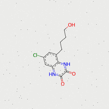 O=c1[nH]c2cc(Cl)cc(CCCCO)c2[nH]c1=O